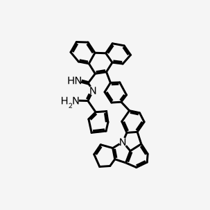 N=C(/N=C(\N)c1ccccc1)c1c(-c2ccc(-c3ccc4c5cccc6c7c(n(c4c3)c65)C=CCC7)cc2)c2ccccc2c2ccccc12